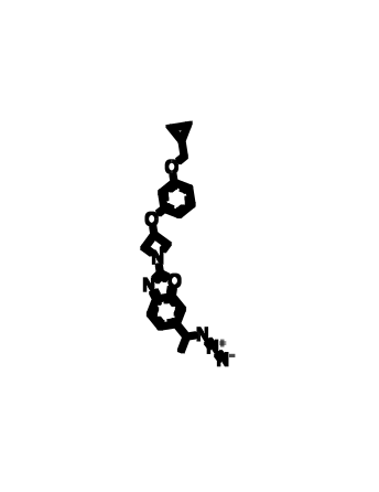 CC(N=[N+]=[N-])c1ccc2nc(N3CC(Oc4cccc(OCC5CC5)c4)C3)oc2c1